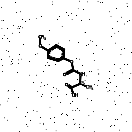 COc1ccc(OC(=O)N[C@@H](C)C(=O)O)cc1